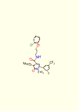 COc1c(C(=O)NCCCOc2ccccc2Cl)cc(-c2cc(F)cc(C(F)(F)F)c2)n(C)c1=O